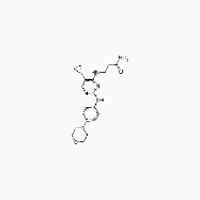 NC(=O)CCNc1nc(Nc2ccc(N3CCOCC3)cc2)ncc1C1CC1